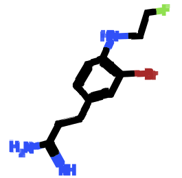 N=C(N)CCc1ccc(NCCF)c(Br)c1